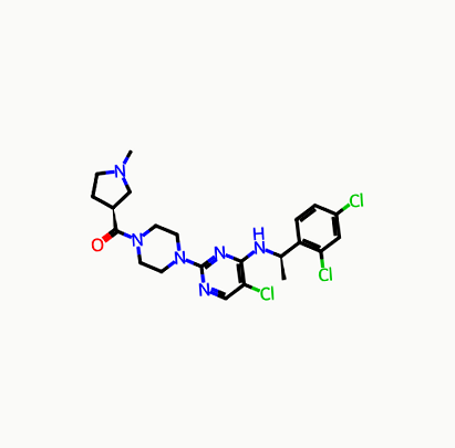 C[C@@H](Nc1nc(N2CCN(C(=O)[C@H]3CCN(C)C3)CC2)ncc1Cl)c1ccc(Cl)cc1Cl